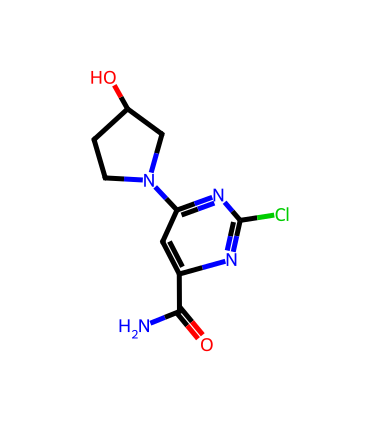 NC(=O)c1cc(N2CCC(O)C2)nc(Cl)n1